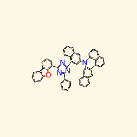 c1ccc(-c2nc(-c3cc(N4c5cc6ccccc6cc5-c5cccc6cccc4c56)cc4ccccc34)nc(-c3cccc4c3oc3ccccc34)n2)cc1